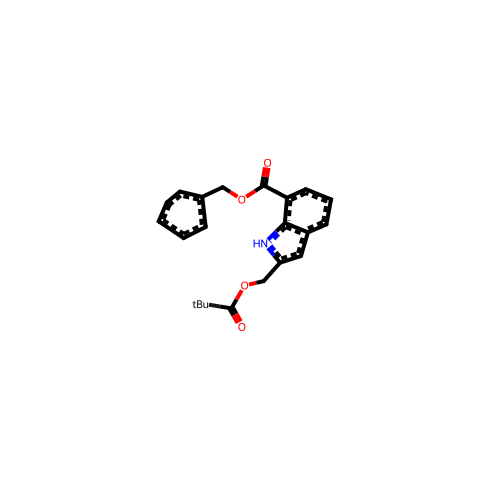 CC(C)(C)C(=O)OCc1cc2cccc(C(=O)OCc3ccccc3)c2[nH]1